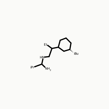 CCC(CNC(N)C(C)C)C1CCCC([C@@H](C)CC)C1